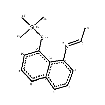 CC=Nc1cccc2cccc(S[Si](C)(C)C)c12